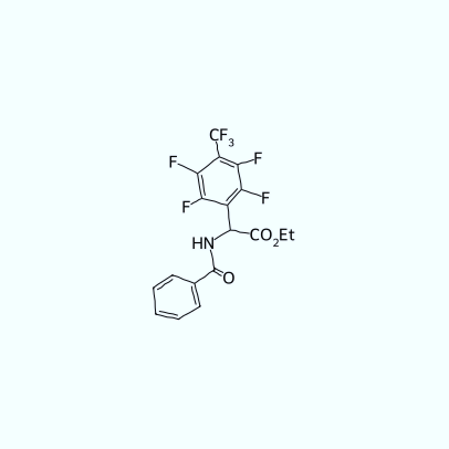 CCOC(=O)C(NC(=O)c1ccccc1)c1c(F)c(F)c(C(F)(F)F)c(F)c1F